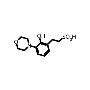 O=S(=O)(O)CCc1cccc(N2CCOCC2)c1O